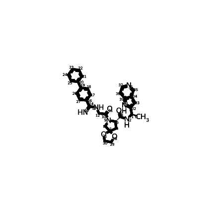 C[C@@H](NC(=O)[C@@H]1CC2(CN1C(=O)CNC(=N)c1ccc(-c3ccccc3)cc1)OCCO2)c1cc2cnccc2[nH]1